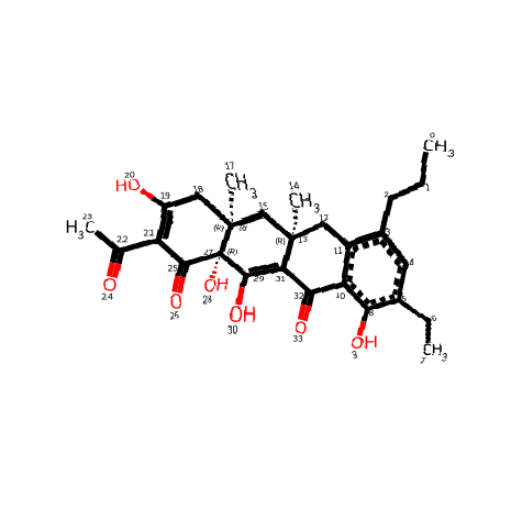 CCCc1cc(CC)c(O)c2c1C[C@]1(C)C[C@]3(C)CC(O)=C(C(C)=O)C(=O)[C@]3(O)C(O)=C1C2=O